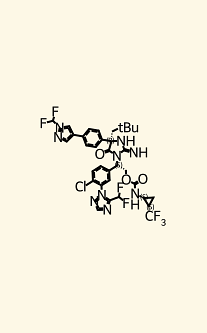 CC(C)(C)C[C@]1(c2ccc(-c3cnn(C(F)F)c3)cc2)NC(=N)N([C@H](COC(=O)N[C@H]2C[C@@H]2C(F)(F)F)c2ccc(Cl)c(-n3ncnc3C(F)F)c2)C1=O